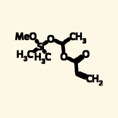 C=CC(=O)OC(C)O[Si](C)(C)OC